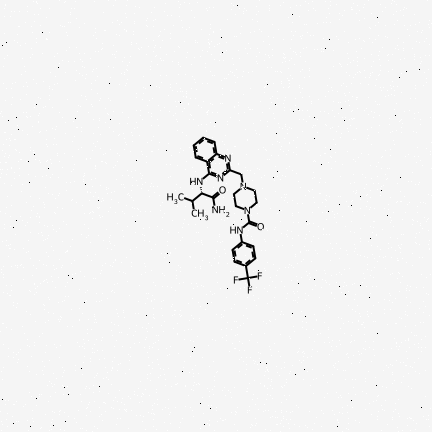 CC(C)[C@H](Nc1nc(CN2CCN(C(=O)Nc3ccc(C(F)(F)F)cc3)CC2)nc2ccccc12)C(N)=O